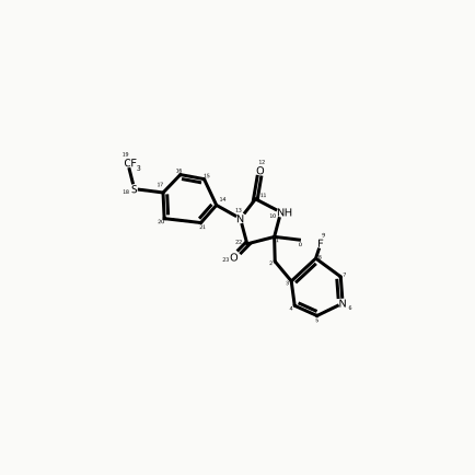 CC1(Cc2ccncc2F)NC(=O)N(c2ccc(SC(F)(F)F)cc2)C1=O